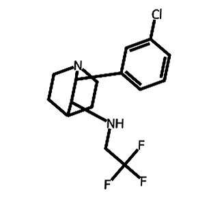 FC(F)(F)CNC1C2CCN(CC2)C1c1cccc(Cl)c1